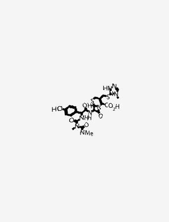 CNC(=O)N(C)C(=O)NC(C(=O)NC1C(=O)N2C(C(=O)O)=C(CSN3NN=CN3C)CS[C@@H]12)c1ccc(O)cc1